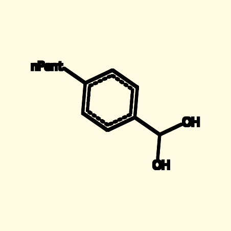 CCCCCc1ccc(C(O)O)cc1